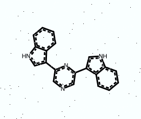 c1ccc2c(-c3cncc(-c4c[nH]c5ccccc45)n3)c[nH]c2c1